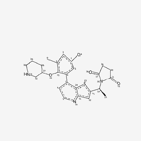 Cc1cc(Cl)cc(-c2ccnc3cc([C@H](C)N4C(=O)CCC4=O)sc23)c1OC1CCCNC1